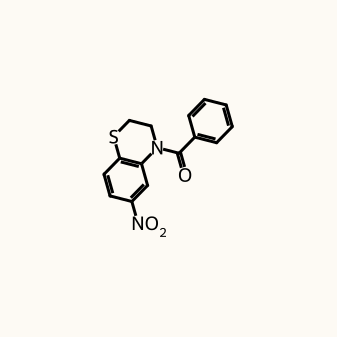 O=C(c1ccccc1)N1CCSc2ccc([N+](=O)[O-])cc21